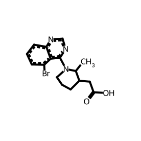 CC1C(CC(=O)O)CCCN1c1ncnc2cccc(Br)c12